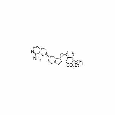 CCOC(=O)Cc1c(OC2CCc3ccc(-c4ccc5ccnc(N)c5c4)cc32)cccc1OC(F)(F)F